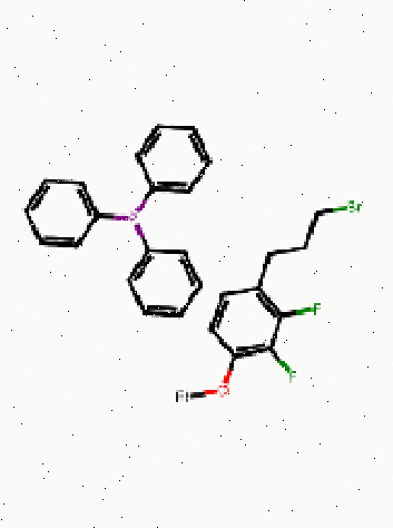 CCOc1ccc(CCCBr)c(F)c1F.c1ccc(P(c2ccccc2)c2ccccc2)cc1